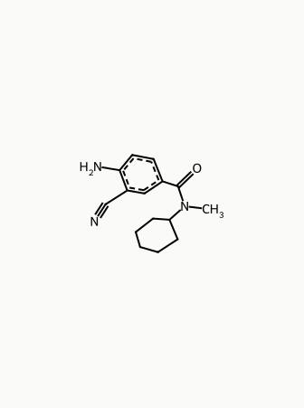 CN(C(=O)c1ccc(N)c(C#N)c1)C1CCCCC1